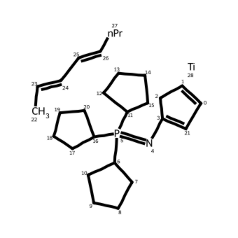 C1=CCC(N=P(C2CCCC2)(C2CCCC2)C2CCCC2)=C1.CC=CC=CCCC.[Ti]